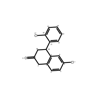 O=C1Cc2ccc(Cl)cc2C(c2ccccc2Cl)C1